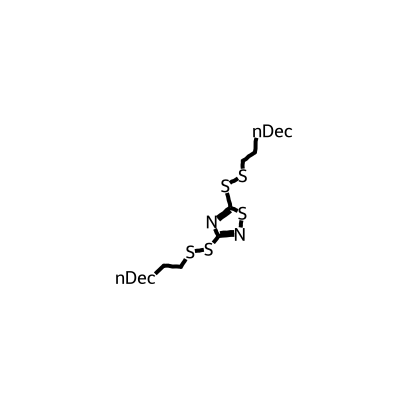 CCCCCCCCCCCCSSc1nsc(SSCCCCCCCCCCCC)n1